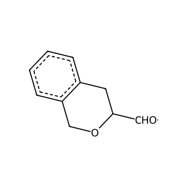 O=[C]C1Cc2ccccc2CO1